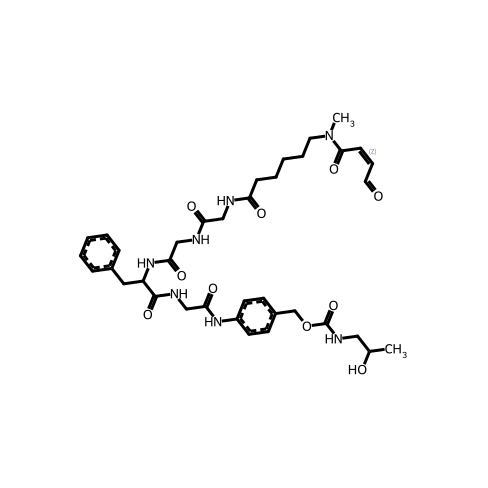 CC(O)CNC(=O)OCc1ccc(NC(=O)CNC(=O)C(Cc2ccccc2)NC(=O)CNC(=O)CNC(=O)CCCCCN(C)C(=O)/C=C\C=O)cc1